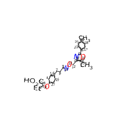 CCC(Oc1ccc(CCC=NOCc2nc(-c3ccc(C)cc3)oc2C)cc1)C(=O)O